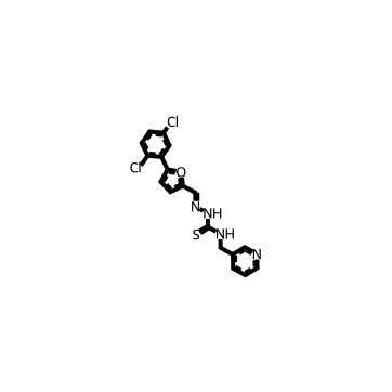 S=C(NCc1cccnc1)N/N=C/c1ccc(-c2cc(Cl)ccc2Cl)o1